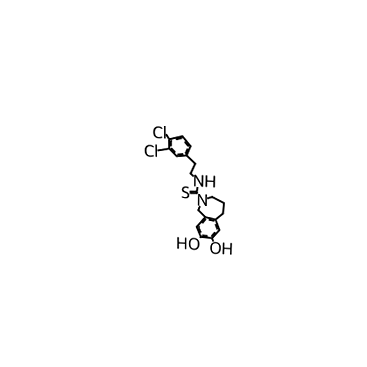 Oc1cc2c(cc1O)CN(C(=S)NCCc1ccc(Cl)c(Cl)c1)CCC2